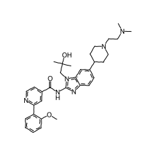 COc1ccccc1-c1cc(C(=O)Nc2nc3ccc(C4CCN(CCN(C)C)CC4)cc3n2CC(C)(C)O)ccn1